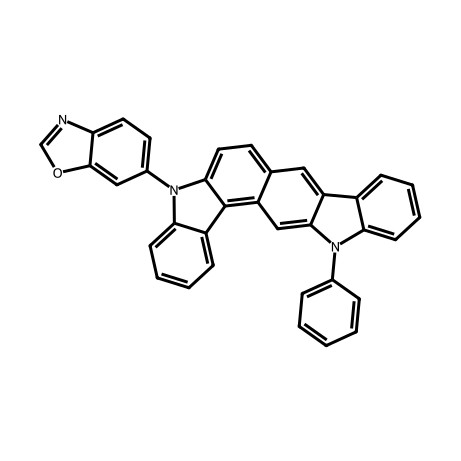 c1ccc(-n2c3ccccc3c3cc4ccc5c(c4cc32)c2ccccc2n5-c2ccc3ncoc3c2)cc1